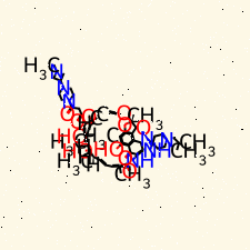 C/C1=C/C=C/[C@H](C)[C@H](O)[C@@H](C)C(O)C[C@H](OC(=O)CC(=O)N2CCN(C3CN(C)C3)CC2)CC/C=C/O[C@@]2(C)Oc3c(C)c(O)c4c(c3C2=O)C2=NC3(CCN(CC(C)C)CC3)NC2=C(NC1=O)C4=O